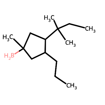 BC1(C)CC(CCC)C(C(C)(C)CC)C1